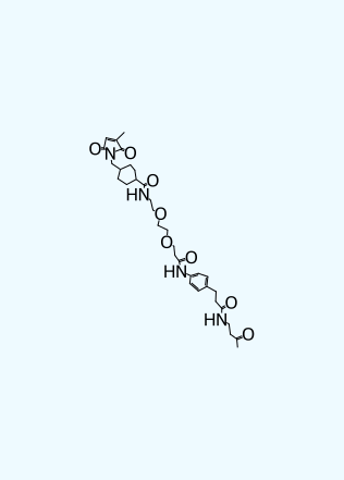 CC(=O)CCNC(=O)CCc1ccc(NC(=O)CCOCCOCCNC(=O)C2CCC(CN3C(=O)C=C(C)C3=O)CC2)cc1